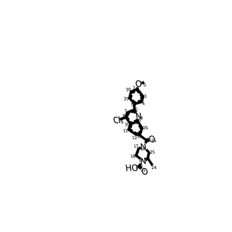 COc1ccc(-c2cc(Cl)c3ccc(C(=O)N4CCN(C(=O)O)C(C)C4)cc3n2)cc1